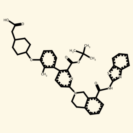 Cc1c(OC2CCC(CC(=O)O)CC2)cccc1-c1ccc(N2CCc3cccc(C(=O)Nc4nc5ccccc5s4)c3C2)nc1C(=O)OC(C)(C)C